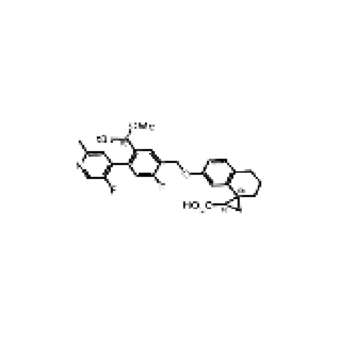 CO[C@@H](c1cc(COc2ccc3c(c2)[C@]2(CCC3)C[C@H]2C(=O)O)c(F)cc1-c1cc(C)ncc1F)C(C)(C)C